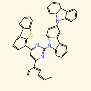 C=C/C(=C\C=C/C)c1cc(-c2cccc3c2sc2ccccc23)nc(-n2c3ccccc3c3cc(N4c5ccccc5C5C=CC=CC54)ccc32)n1